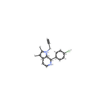 C#CCn1c(C)c(C)c2ccnc(-c3ccc(Cl)cc3)c21